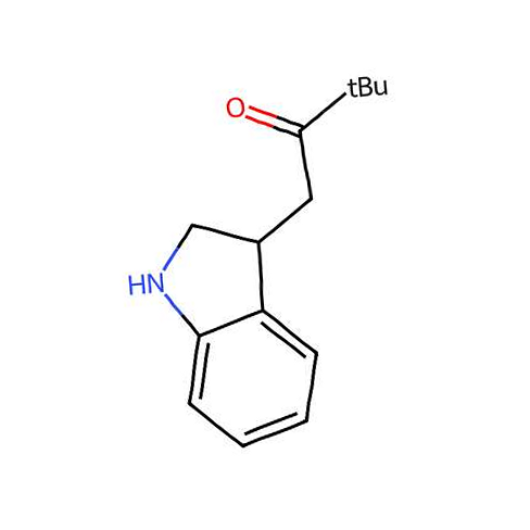 CC(C)(C)C(=O)CC1CNc2ccccc21